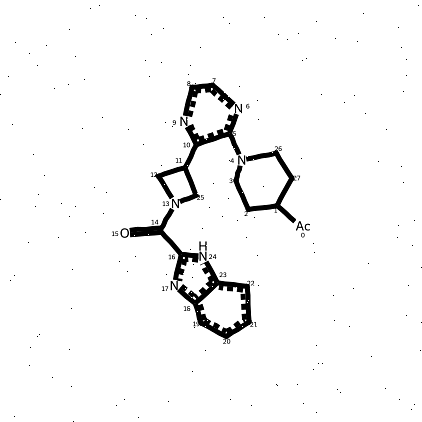 CC(=O)C1CCN(c2nccnc2C2CN(C(=O)c3nc4ccccc4[nH]3)C2)CC1